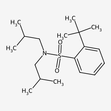 CC(C)CN(CC(C)C)S(=O)(=O)c1ccccc1C(C)(C)C